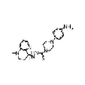 CN1CC/C(=N/NC(=S)N2CCN(c3ccc(N)cc3)CC2)c2ncccc21